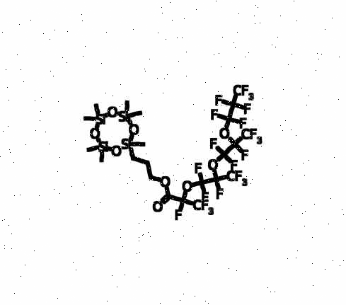 C[Si]1(C)O[Si](C)(C)O[Si](C)(CCCOC(=O)C(F)(OC(F)(F)C(F)(OC(F)(F)C(F)(OC(F)(F)C(F)(F)C(F)(F)F)C(F)(F)F)C(F)(F)F)C(F)(F)F)O[Si](C)(C)O1